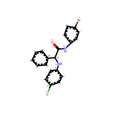 O=C(Nc1ccc(Br)cc1)C(Nc1ccc(Cl)cc1)c1ccccc1